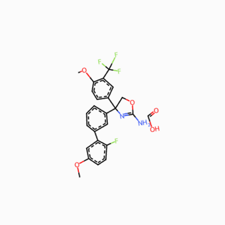 COc1ccc(F)c(-c2cccc(C3(c4ccc(OC)c(C(F)(F)F)c4)COC(N)=N3)c2)c1.O=CO